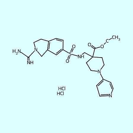 CCOC(=O)C1(CNS(=O)(=O)c2ccc3c(c2)CN(C(=N)N)CC3)CCN(c2ccncc2)CC1.Cl.Cl